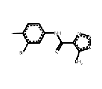 Nc1nsnc1C(=S)Nc1ccc(F)c(Br)c1